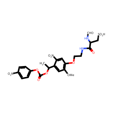 COc1cc(C(C)OC(=O)Oc2ccc([N+](=O)[O-])cc2)c([N+](=O)[O-])cc1OCCNC(=O)C(CS(=O)(=O)O)NC=O